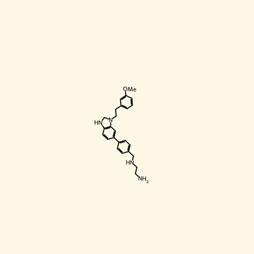 COc1cccc(CCN2CNc3ccc(-c4ccc(CNCCN)cc4)cc32)c1